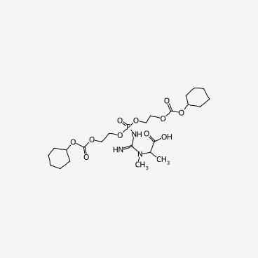 CC(C(=O)O)N(C)C(=N)NP(=O)(OCCOC(=O)OC1CCCCC1)OCCOC(=O)OC1CCCCC1